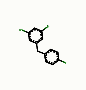 Fc1ccc(Cc2cc(Br)cc(Br)c2)cc1